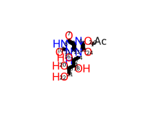 CC(=O)COc1nc2c(=O)[nH]c(=O)[nH]c2n(C[C@H](O)[C@H](O)[C@H](O)CO)c1=O